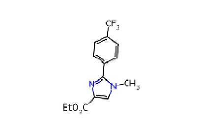 CCOC(=O)c1cn(C)c(-c2ccc(C(F)(F)F)cc2)n1